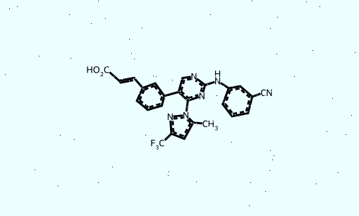 Cc1cc(C(F)(F)F)nn1-c1nc(Nc2cccc(C#N)c2)ncc1-c1cccc(C=CC(=O)O)c1